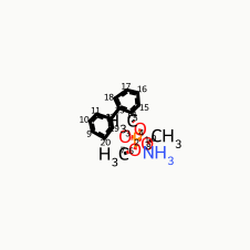 COP(=O)(OC)OC.N.c1ccc(-c2ccccc2)cc1